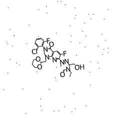 CCN(C=O)/C(CO)=N\N(C)c1nc2c(cc1F)C(=O)N(c1c(F)cccc1Cl)CN2CC1OCCCO1